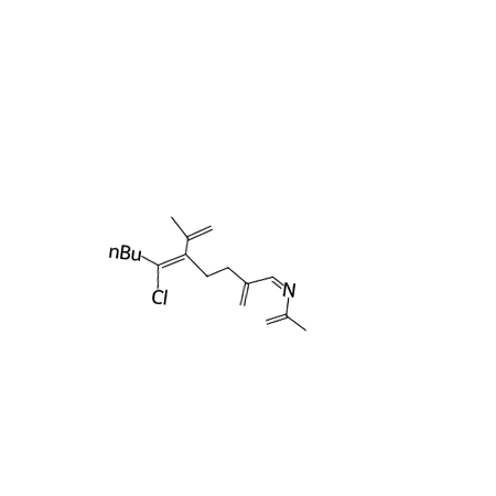 C=C(/C=N\C(=C)C)CC/C(C(=C)C)=C(\Cl)CCCC